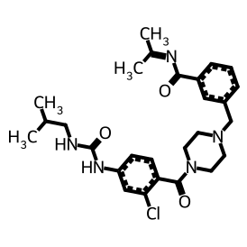 CC(C)=NC(=O)c1cccc(CN2CCN(C(=O)c3ccc(NC(=O)NCC(C)C)cc3Cl)CC2)c1